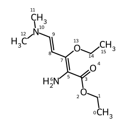 CCOC(=O)C(N)=C(/C=C/N(C)C)OCC